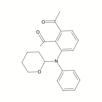 CC(=O)c1cccc(N(c2ccccc2)C2CCCCO2)c1C(C)=O